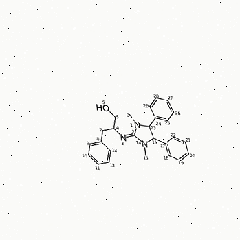 CN1C(=NC(CO)Cc2ccccc2)N(C)C(c2ccccc2)C1c1ccccc1